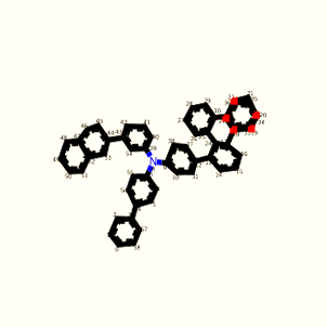 c1ccc(-c2ccc(N(c3ccc(-c4cccc(-c5ccccc5)c4-c4ccccc4-c4ccccc4)cc3)c3cccc(-c4ccc5ccccc5c4)c3)cc2)cc1